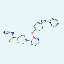 CNC(=O)C1CCN(c2cccnc2Oc2ccc(Nc3ccccn3)cc2)CC1